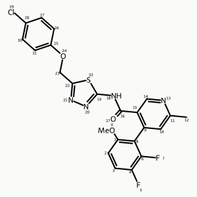 COc1ccc(F)c(F)c1-c1cc(C)ncc1C(=O)Nc1nnc(COc2ccc(Cl)cc2)s1